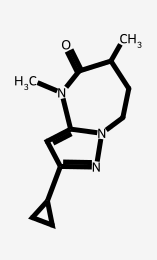 CC1CCn2nc(C3CC3)cc2N(C)C1=O